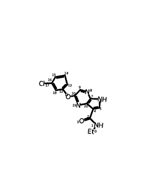 CCNC(=O)c1c[nH]c2ncc(Oc3cccc(Cl)c3)nc12